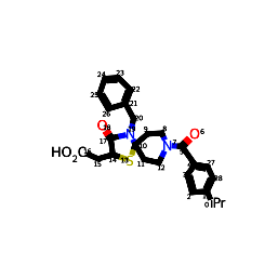 CC(C)c1ccc(C(=O)N2CCC3(CC2)SC(CC(=O)O)C(=O)N3Cc2ccccc2)cc1